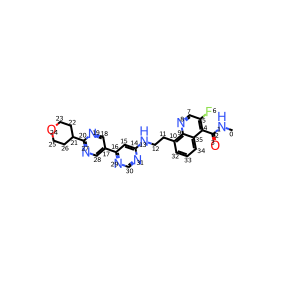 CNC(=O)c1c(F)cnc2c(CCNc3cc(-c4cnc(C5CCOCC5)nc4)ncn3)cccc12